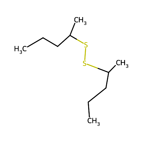 CCCC(C)SSC(C)CCC